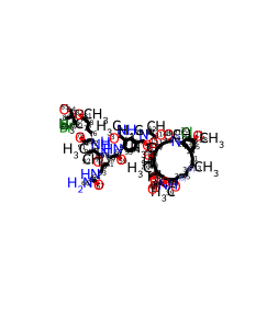 CNC(=O)c1cc(C(=O)N(C)[C@@H](C)C(=O)O[C@H]2CC(=O)N(C)c3cc(cc(OC)c3Cl)C/C(C)=C/C=C/[C@@H](OC)[C@@]3(O)C[C@H](OC(=O)N3)[C@@H](C)[C@@H]3O[C@@]23C)ccc1NC(=O)[C@H](CCCNC(N)=O)NC(=O)[C@@H](N[C@H](C=O)CCCC(C)(C)OC(C=O)(CBr)CBr)C(C)C